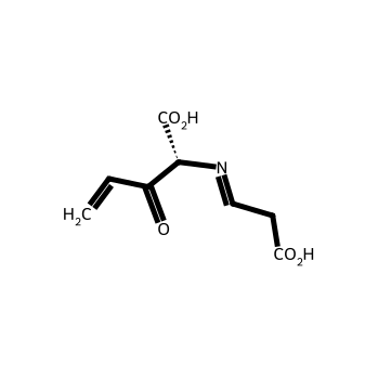 C=CC(=O)[C@@H](/N=C/CC(=O)O)C(=O)O